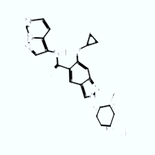 C[C@H]1C[C@H](O)CC[C@@H]1n1cc2cc(C(=O)Nc3cnn4cnccc34)c(OC3CC3)cc2n1